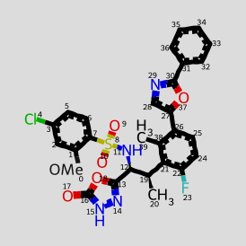 COc1cc(Cl)ccc1S(=O)(=O)N[C@H](c1n[nH]c(=O)o1)[C@H](C)c1c(F)ccc(-c2cnc(-c3ccccc3)o2)c1C